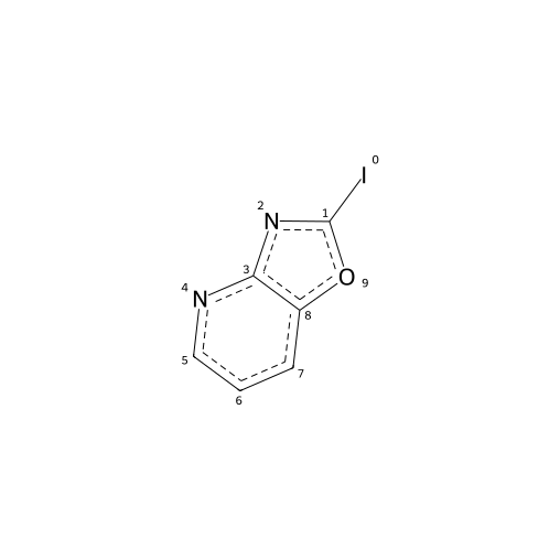 Ic1nc2ncccc2o1